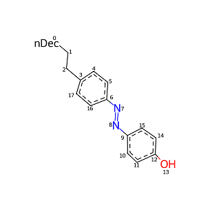 CCCCCCCCCCCCc1ccc(N=Nc2ccc(O)cc2)cc1